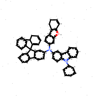 CC1CC=CC=C1C1(c2ccccc2)c2ccccc2-c2ccc(N(c3ccc4c5c(oc4c3)C=CCC5)c3ccc4c(c3)c3ccccc3n4-c3ccccc3)cc21